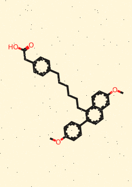 COc1ccc(-c2ccc3cc(OC)ccc3c2CCCCCCc2ccc(CC(=O)O)cc2)cc1